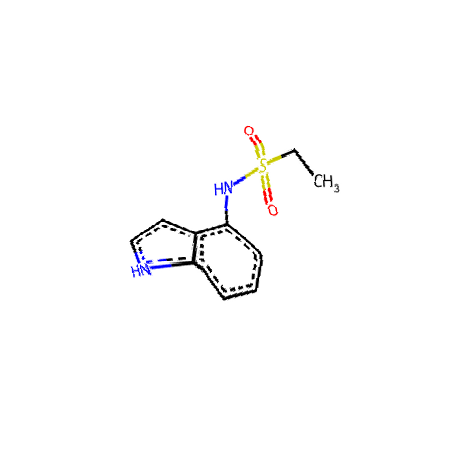 CCS(=O)(=O)Nc1cccc2[nH]ccc12